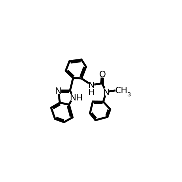 CN(C(=O)Nc1ccccc1-c1nc2ccccc2[nH]1)c1ccccc1